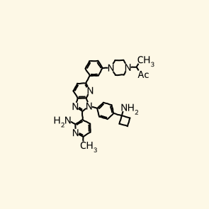 CC(=O)C(C)N1CCN(c2cccc(-c3ccc4nc(-c5ccc(C)nc5N)n(-c5ccc(C6(N)CCC6)cc5)c4n3)c2)CC1